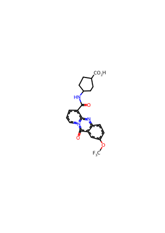 O=C(NC1CCC(C(=O)O)CC1)c1cccn2c(=O)c3cc(OC(F)(F)F)ccc3nc12